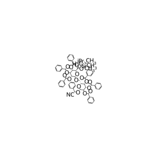 CC(C)C(C)(C)[Si](C)(C)OC[C@H]1O[C@@H](OC[C@H]2O[C@@H](OC(C#N)c3ccccc3)[C@H](OC(=O)c3ccccc3)[C@@H](OC(=O)c3ccccc3)[C@@H]2OC(=O)c2ccccc2)[C@H](OC(=O)c2ccccc2)[C@@H](OC(=O)c2ccccc2)[C@@H]1OC(=O)c1ccccc1